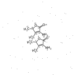 CC1=C(N)C(=O)OC1C.CC1=C(N)C(=O)OC1C